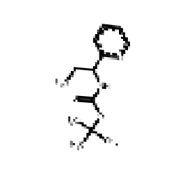 CC(C)(C)OC(=O)NC(CN)c1ccccn1